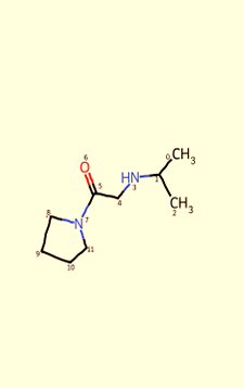 CC(C)NCC(=O)N1[CH]CCC1